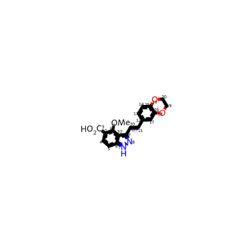 COc1c(C(=O)O)ccc2[nH]nc(/C=C/c3ccc4c(c3)OCCO4)c12